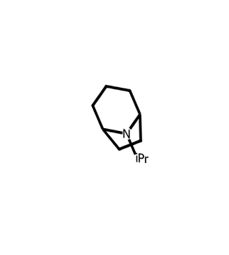 CC(C)N1C2CCCC1CC2